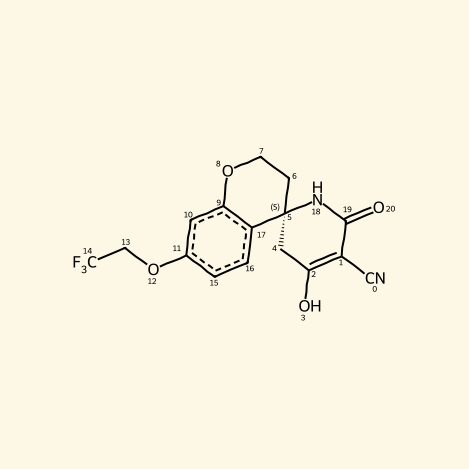 N#CC1=C(O)C[C@]2(CCOc3cc(OCC(F)(F)F)ccc32)NC1=O